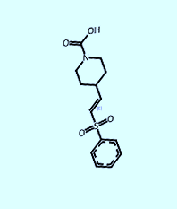 O=C(O)N1CCC(/C=C/S(=O)(=O)c2ccccc2)CC1